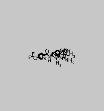 CN1C(N)=N[C@](C)(c2nc(NC(=O)c3ccc(OC(F)F)cn3)cs2)C2(CCCC2)S1(O)O